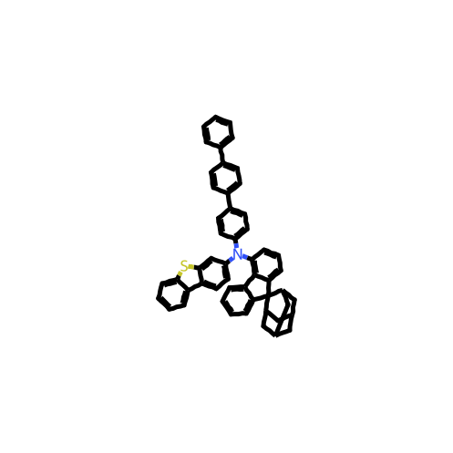 c1ccc(-c2ccc(-c3ccc(N(c4ccc5c(c4)sc4ccccc45)c4cccc5c4-c4ccccc4C54C5CC6CC(C5)CC4C6)cc3)cc2)cc1